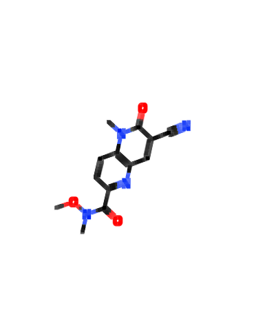 CON(C)C(=O)c1ccc2c(cc(C#N)c(=O)n2C)n1